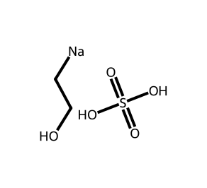 O=S(=O)(O)O.OC[CH2][Na]